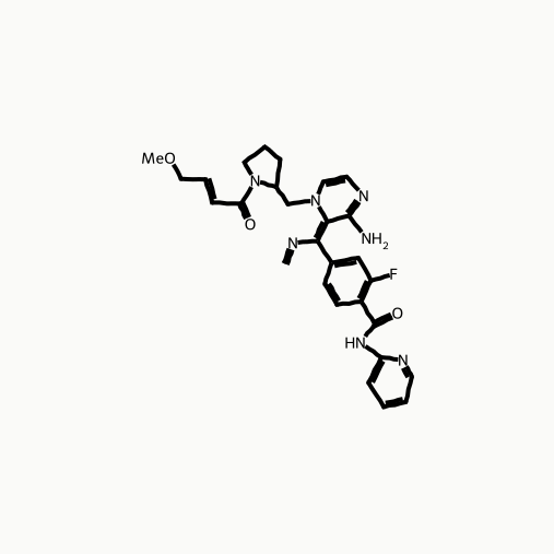 C=N/C(=C1/C(N)=NC=CN1CC1CCCN1C(=O)/C=C/COC)c1ccc(C(=O)Nc2ccccn2)c(F)c1